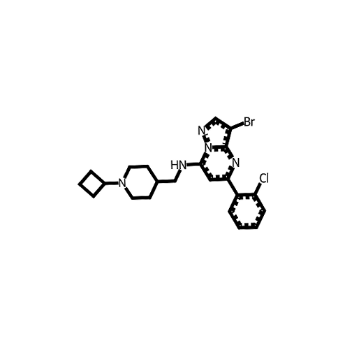 Clc1ccccc1-c1cc(NCC2CCN(C3CCC3)CC2)n2ncc(Br)c2n1